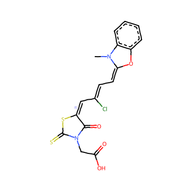 CN1C(=CC=C(Cl)/C=C2/SC(=S)N(CC(=O)O)C2=O)Oc2ccccc21